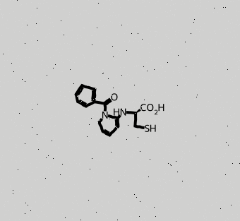 O=C(O)[C@@H](CS)NC1=CC=CCN1C(=O)c1ccccc1